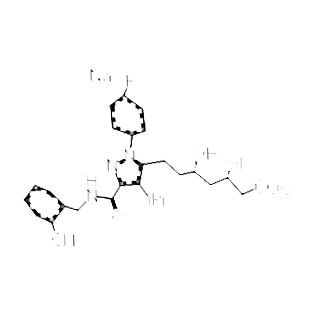 Cc1ccccc1CNC(=O)c1nn(-c2ccc(F)cc2)c(CC[C@@H](O)C[C@@H](O)CC(=O)[O-])c1C(C)C.[Na+]